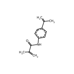 C=C(C)C(=O)Nc1ccc(C(=C)C)cc1